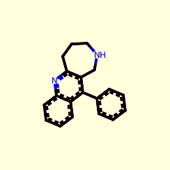 c1ccc(-c2c3c(nc4ccccc24)CCCNC3)cc1